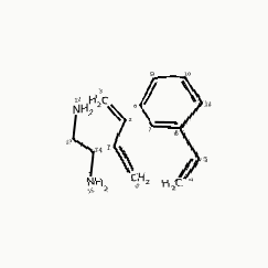 C=CC=C.C=Cc1ccccc1.NCCN